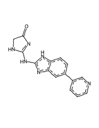 O=C1CNC(Nc2nc3cc(-c4cccnc4)ccc3[nH]2)=N1